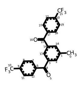 Cc1cc(C(=O)c2ccc(C(F)(F)F)cc2)cc(C(=O)c2ccc(C(F)(F)F)cc2)c1